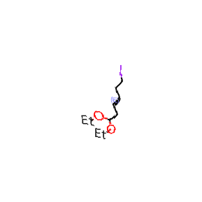 CCOC(C/C=C/CCI)OCC